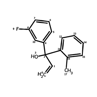 C=CC(O)(c1cccc(F)c1)c1ccccc1C